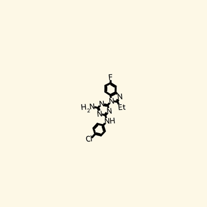 CCc1nc2cc(F)ccc2n1-c1nc(N)nc(Nc2ccc(Cl)cc2)n1